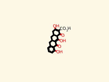 O=C(O)C1=C(O)CC2CC3Cc4cccc(O)c4C(=O)C3=C(O)C2C1=O